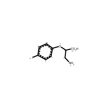 NCC(Oc1ccc(I)cc1)C(=O)O